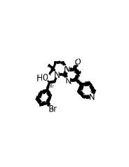 CC1(C)CCn2c(nc(-c3ccncc3)cc2=O)N1C[C@H](O)c1cccc(Br)c1